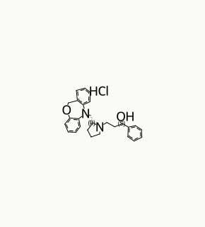 Cl.O[C@@H](CCN1CCC[C@@H]1CN1c2ccccc2COc2ccccc21)c1ccccc1